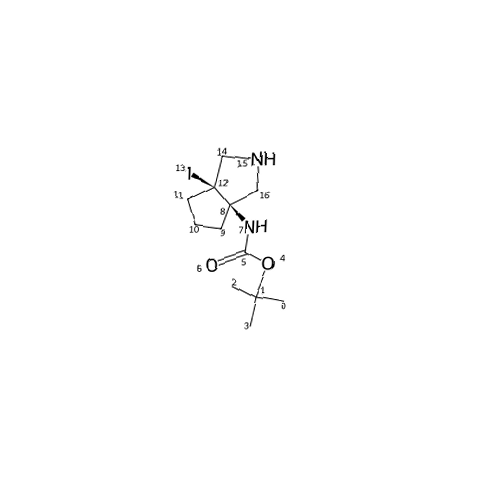 CC(C)(C)OC(=O)N[C@@]12CCC[C@]1(I)CNC2